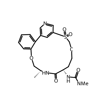 CNC(=O)N[C@H]1CCCCS(=O)(=O)c2cncc(c2)-c2ccccc2OC[C@@H](C)NC1=O